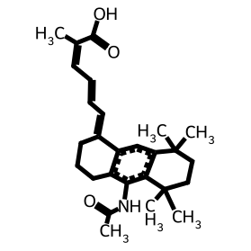 CC(=O)Nc1c2c(cc3c1C(C)(C)CCC3(C)C)C(=CC=CC=C(C)C(=O)O)CCC2